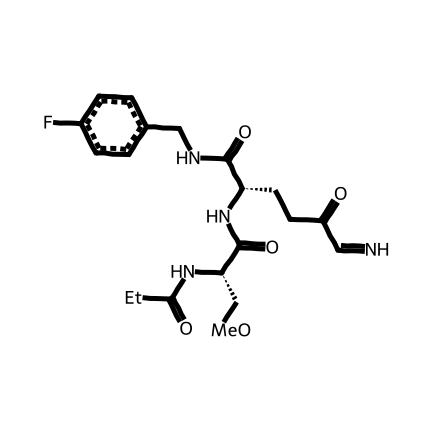 CCC(=O)N[C@@H](COC)C(=O)N[C@@H](CCC(=O)C=N)C(=O)NCc1ccc(F)cc1